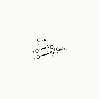 CC(=O)[O-].O=[N+]([O-])[O-].[Ce+3].[Ce+3]